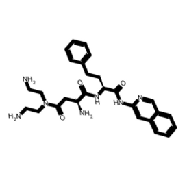 NCCN(CCN)C(=O)C[C@H](N)C(=O)N[C@@H](CCc1ccccc1)C(=O)Nc1cc2ccccc2cn1